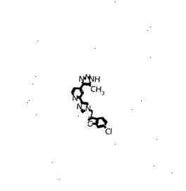 Cc1[nH]nnc1-c1ccnc(-c2cn(C[C@@H]3COc4cc(Cl)ccc43)cn2)c1